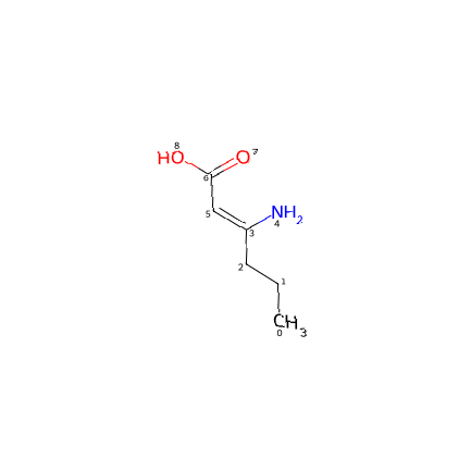 CCC/C(N)=C/C(=O)O